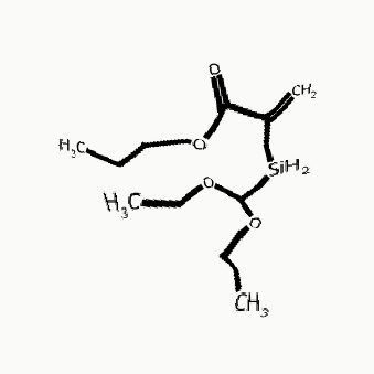 C=C([SiH2]C(OCC)OCC)C(=O)OCCC